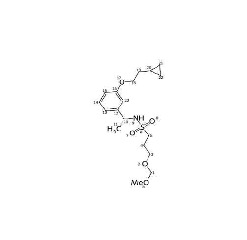 COCOCCCS(=O)(=O)N[C@H](C)c1cccc(OCCC2CC2)c1